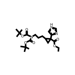 CCOC(=O)C1(c2c[nH]cn2)CC1CCCN(C(=O)OC(C)(C)C)C(=O)OC(C)(C)C